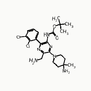 CC1(N)CCN(c2nc(NC(=O)OC(C)(C)C)c(-c3cccc(Cl)c3Cl)nc2CN)CC1